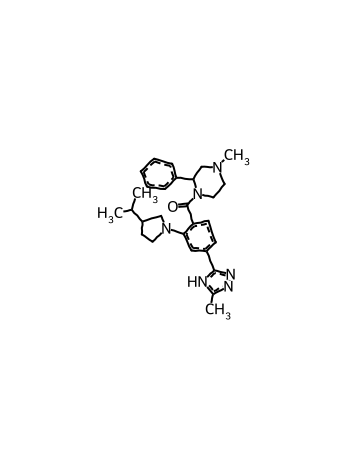 Cc1nnc(-c2ccc(C(=O)N3CCN(C)CC3c3ccccc3)c(N3CCC(C(C)C)C3)c2)[nH]1